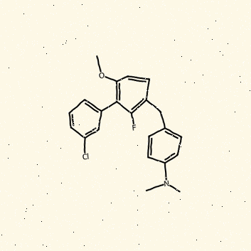 COc1ccc(Cc2ccc(N(C)C)cc2)c(F)c1-c1cccc(Cl)c1